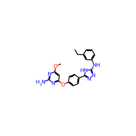 CCc1cccc(Nc2nnc(-c3ccc(Oc4cc(OC)nc(N)n4)cc3)[nH]2)c1